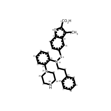 Cc1c(C(=O)O)oc2ccc(SN(CCc3ccccc3)c3ccccc3N3CCNCC3)cc12